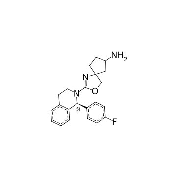 NC1CCC2(COC(N3CCc4ccccc4[C@@H]3c3ccc(F)cc3)=N2)C1